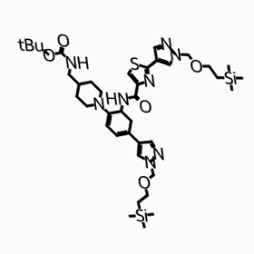 CC(C)(C)OC(=O)NCC1CCN(C2=CC=C(c3cnn(COCC[Si](C)(C)C)c3)CC2NC(=O)c2csc(-c3cnn(COCC[Si](C)(C)C)c3)n2)CC1